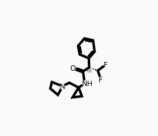 O=C(NC1(CN2CCC2)CC1)[C@H](c1ccccc1)C(F)F